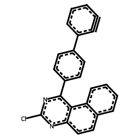 Clc1nc(-c2ccc(-c3c#cccc3)cc2)c2c(ccc3ccccc32)n1